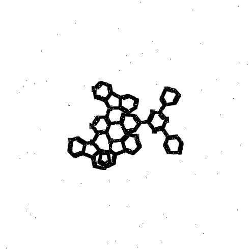 c1ccc(-c2nc(-c3ccccc3)nc(-c3ccc(-c4c(-n5c6ccccc6c6ccncc65)cnc(-n5c6ccccc6c6ccncc65)c4-n4c5ccccc5c5ccncc54)cc3)n2)cc1